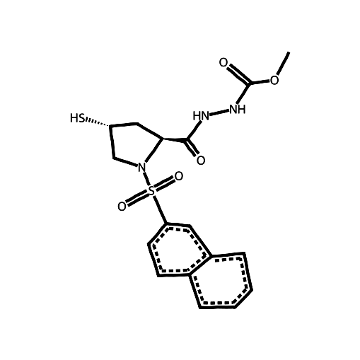 COC(=O)NNC(=O)[C@@H]1C[C@@H](S)CN1S(=O)(=O)c1ccc2ccccc2c1